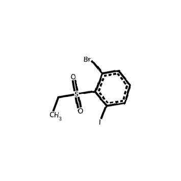 CCS(=O)(=O)c1c(Br)cccc1I